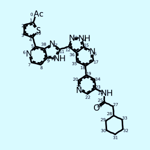 CC(=O)c1ccc(-c2nccc3[nH]c(-c4n[nH]c5ncc(-c6cncc(NC(=O)CC7CCCCC7)c6)cc45)nc23)s1